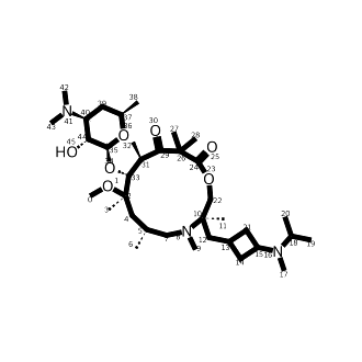 CO[C@]1(C)C[C@@H](C)CN(C)[C@](C)(CC2CC(N(C)C(C)C)C2)COC(=O)C(C)(C)C(=O)[C@H](C)[C@H]1O[C@@H]1O[C@H](C)C[C@H](N(C)C)[C@H]1O